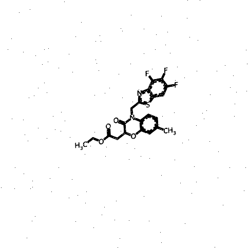 CCOC(=O)CC1Oc2cc(C)ccc2N(Cc2nc3c(F)c(F)c(F)cc3s2)C1=O